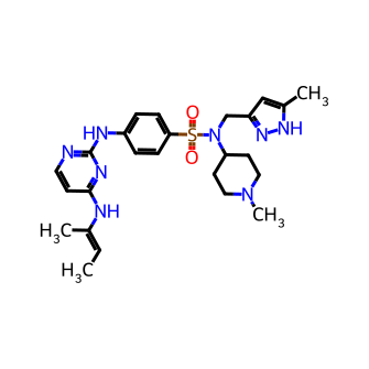 C/C=C(\C)Nc1ccnc(Nc2ccc(S(=O)(=O)N(Cc3cc(C)[nH]n3)C3CCN(C)CC3)cc2)n1